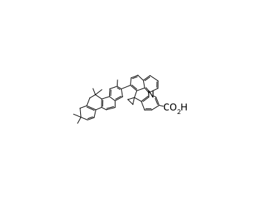 Cc1cc2c3c(ccc2cc1-c1ccc2ccccc2c1C1(c2ccc(C(=O)O)cn2)CC1)C1=C(CC(C)(C)C=C1)CC3(C)C